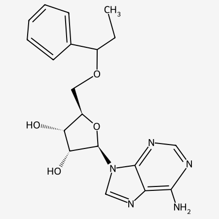 CCC(OC[C@H]1O[C@@H](n2cnc3c(N)ncnc32)[C@H](O)[C@@H]1O)c1ccccc1